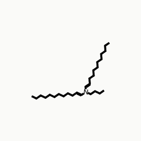 CCCCCCCCCC/C=C/N(/C=C/CCCCCCCCCC)CCCC